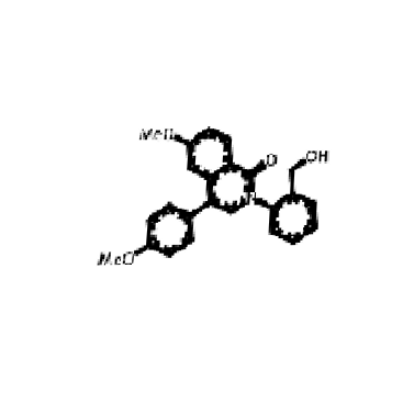 COc1ccc(-c2cn(-c3ccccc3CO)c(=O)c3ccc(OC)cc23)cc1